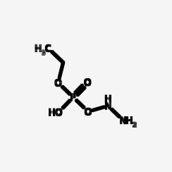 CCOP(=O)(O)ONN